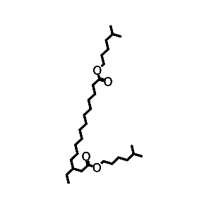 CCC(CCCCCCCCCCCC(=O)OCCCCC(C)C)CC(=O)OCCCCC(C)C